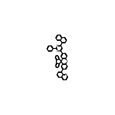 c1ccc(-c2nc(-c3ccc4c(c3)C3(c5cc(-c6cccc7cccnc67)ccc5S4)c4ccccc4-c4ccccc43)cc(-c3cccc4ccccc34)n2)cc1